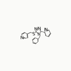 c1ccc(Cn2c(SCc3ccncc3)nnc2-c2ccccn2)cc1